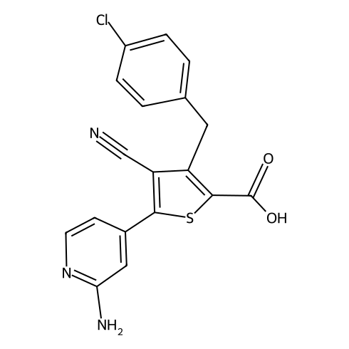 N#Cc1c(-c2ccnc(N)c2)sc(C(=O)O)c1Cc1ccc(Cl)cc1